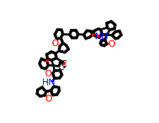 c1ccc2c(c1)Oc1c(Nc3cccc4oc5ccccc5c34)cccc1C21c2ccccc2-c2c(-c3cccc4c3oc3cccc(-c5ccc(-c6ccc(Nc7cccc8c7C7(c9ccccc9O8)c8ccccc8-c8ccccc87)cc6)cc5)c34)cccc21